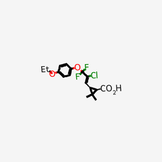 CCOc1ccc(OC(F)(F)C(Cl)=C[C@H]2[C@@H](C(=O)O)C2(C)C)cc1